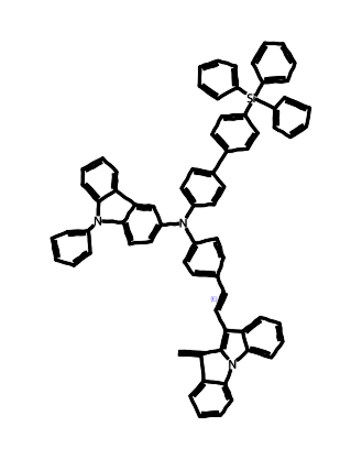 C=c1c2ccccc2n2c1c(/C=C/c1ccc(N(c3ccc(-c4ccc([Si](c5ccccc5)(c5ccccc5)c5ccccc5)cc4)cc3)c3ccc4c(c3)c3ccccc3n4-c3ccccc3)cc1)c1ccccc12